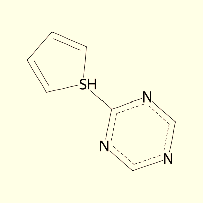 C1=C[SH](c2ncncn2)C=C1